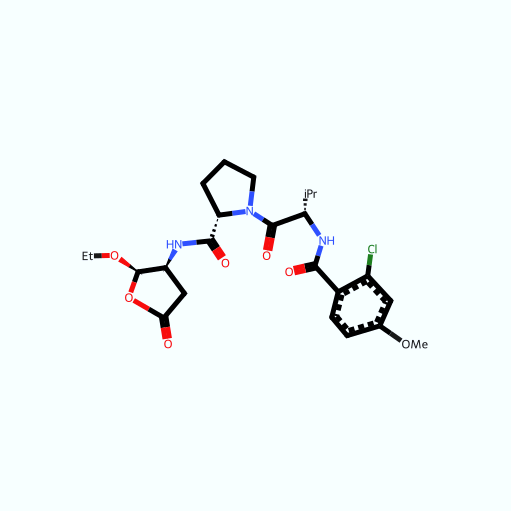 CCO[C@@H]1OC(=O)C[C@@H]1NC(=O)[C@@H]1CCCN1C(=O)[C@@H](NC(=O)c1ccc(OC)cc1Cl)C(C)C